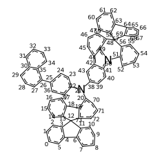 c1ccc2c(c1)-c1ccccc1C21c2ccccc2-c2c(N(c3ccc(-c4cccc5ccccc45)cc3)c3ccc4c(c3)c3cccc5c3n4-c3ccccc3C53c4ccccc4-c4ccccc43)cccc21